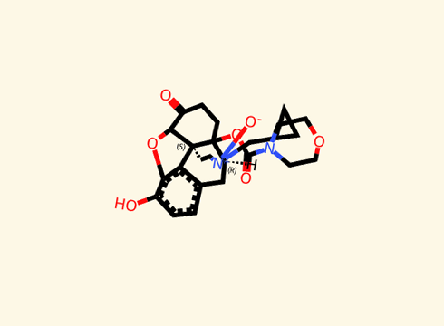 O=C1CCC2(OC(=O)N3CCOCC3)[C@H]3Cc4ccc(O)c5c4[C@@]2(CC[N+]3([O-])CC2CC2)C1O5